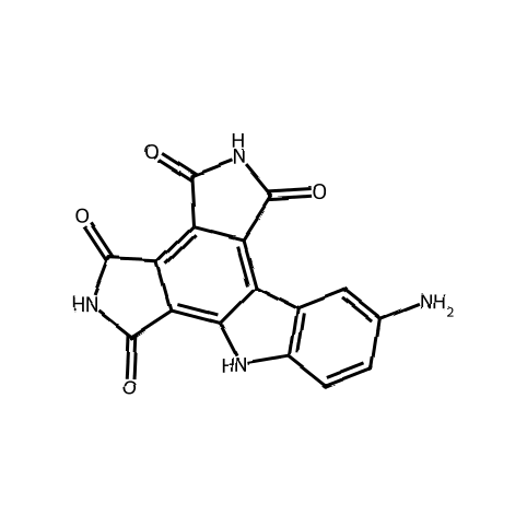 Nc1ccc2[nH]c3c4c(=O)[nH]c(=O)c4c4c(=O)[nH]c(=O)c4c3c2c1